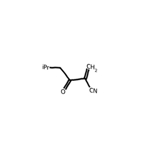 C=C(C#N)C(=O)CC(C)C